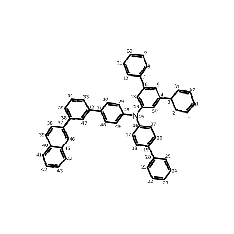 C1=CCC(c2cc(-c3ccccc3)cc(N(c3ccc(-c4ccccc4)cc3)c3ccc(-c4cccc(-c5ccc6ccccc6c5)c4)cc3)c2)C=C1